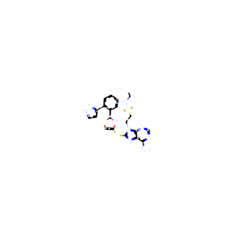 CCNS(=O)(=O)CCn1c(SC2=COC(c3ccccc3-c3cc[nH]n3)O2)nc2c(N)ncnc21